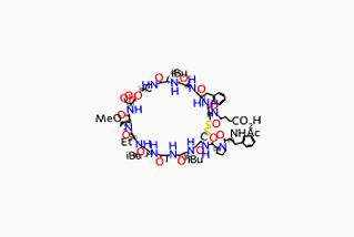 CC[C@@H](C)C[C@@H]1NC(=O)C(C)NC(=O)[C@H]([C@H](C)CC)NC(=O)C(NC(=O)[C@@H]2CCCN2C(=O)[C@@H](Cc2ccccc2)NC(C)=O)CSSC[C@H](NC(=O)CCC(=O)O)C(=O)N[C@H](Cc2ccccc2)C(=O)N[C@H](C)C(=O)NC(C[C@@H](C)CC)C(=O)NC[C@@H](C)OC(=O)[C@H](CO)NC(=O)[C@H]([C@@H](C)OC)N(C)C(=O)[C@@H](CC)NC1=O